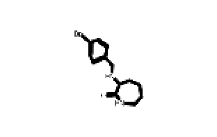 O=C1NCCCCC1NCc1ccc(Br)cc1